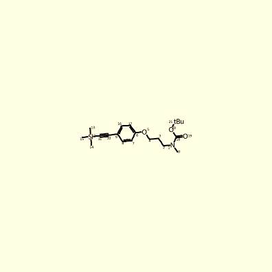 CN(CCCOc1ccc(C#C[Si](C)(C)C)cc1)C(=O)OC(C)(C)C